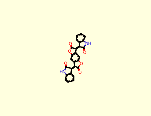 O=C1Nc2ccccc2C1=C1C(=O)Oc2cc3c(cc21)OC(=O)C3=C1C(=O)Nc2ccccc21